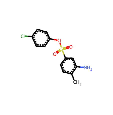 Cc1ccc(S(=O)(=O)Oc2ccc(Cl)cc2)cc1N